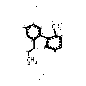 [CH2]c1ccccc1-c1ccccc1CCC